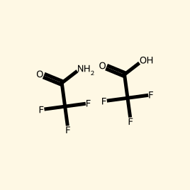 NC(=O)C(F)(F)F.O=C(O)C(F)(F)F